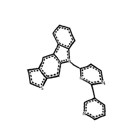 c1cncc(-c2nccc(-n3c4ccccc4c4cc5ccsc5cc43)n2)c1